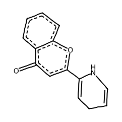 O=c1cc(C2=CCC=CN2)oc2ccccc12